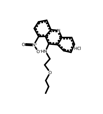 CCCOCCNc1c2ccccc2nc2cccc([N+](=O)[O-])c12.Cl